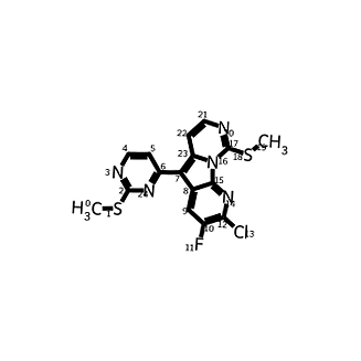 CSc1nccc(-c2c3cc(F)c(Cl)nc3n3c(SC)nccc23)n1